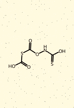 O=C(O)SC(=O)ONC(O)=S